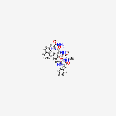 CC[C@H](C)C(NC(=O)C(Cc1ccccc1)NC(=O)Cc1ccccc1)C(=O)C(=O)NCC(=O)NC(Cc1ccc2ccccc2c1)C(N)=O